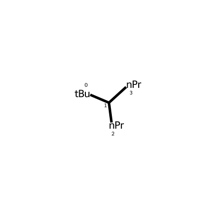 [CH2]C(C)(C)C(CCC)CCC